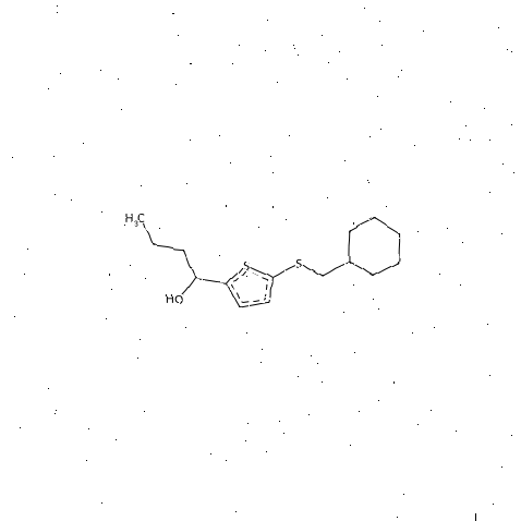 CCCC(O)c1ccc(SCC2CCCCC2)s1